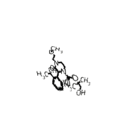 COCCN1CCN(C(=O)OC(C)(C)CO)C(c2ccccc2C(C)C)C1=O